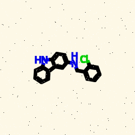 Clc1ccccc1CNc1ccc2[nH]c3ccccc3c2c1